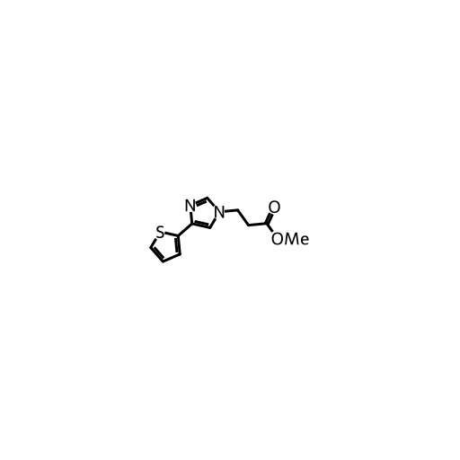 COC(=O)CCn1cnc(-c2cccs2)c1